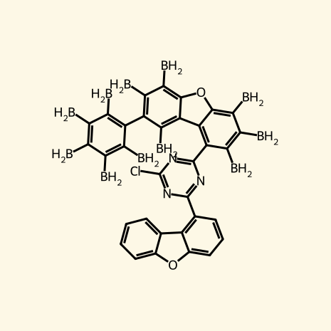 Bc1c(B)c(B)c(-c2c(B)c(B)c3oc4c(B)c(B)c(B)c(-c5nc(Cl)nc(-c6cccc7oc8ccccc8c67)n5)c4c3c2B)c(B)c1B